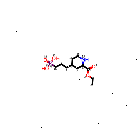 CCOC(=O)C1CC(CCCP(=O)(O)O)CCN1